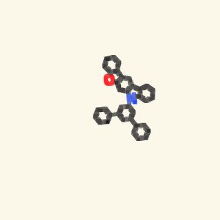 c1ccc(-c2cc(-c3ccccc3)cc(-n3c4ccccc4c4cc5c(cc43)oc3ccccc35)c2)cc1